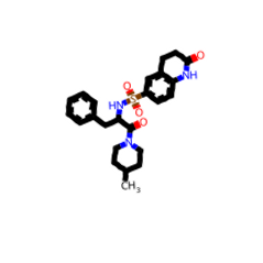 CC1CCN(C(=O)C(Cc2ccccc2)NS(=O)(=O)c2ccc3c(c2)CCC(=O)N3)CC1